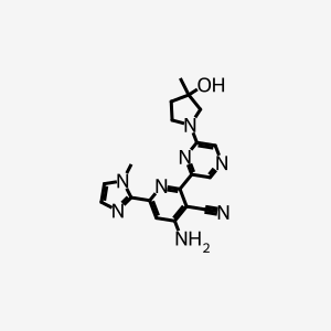 Cn1ccnc1-c1cc(N)c(C#N)c(-c2cncc(N3CCC(C)(O)C3)n2)n1